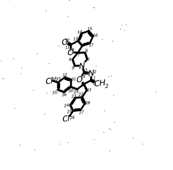 C=C1N=C(N2CCC3(CC2)OC(=O)c2ccccc23)OC1(Cc1ccc(Cl)cc1)Cc1ccc(Cl)cc1